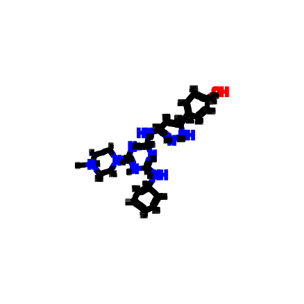 CN1CCN(c2nc(Nc3ccccc3)nc(Nc3cc(-c4ccc(O)cc4)[nH]n3)n2)CC1